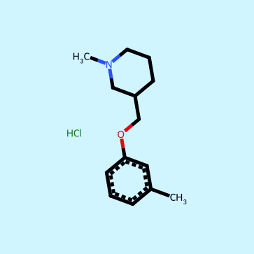 Cc1cccc(OCC2CCCN(C)C2)c1.Cl